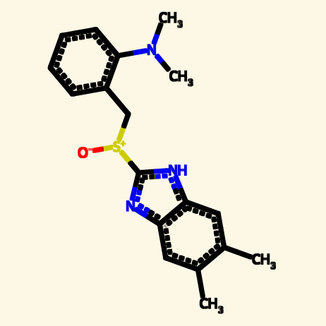 Cc1cc2nc([S+]([O-])Cc3ccccc3N(C)C)[nH]c2cc1C